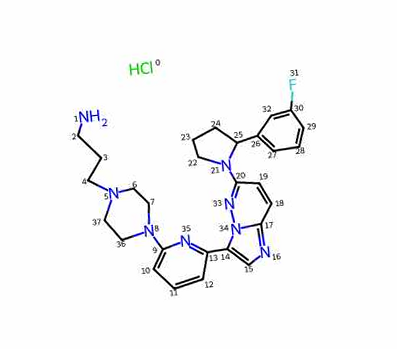 Cl.NCCCN1CCN(c2cccc(-c3cnc4ccc(N5CCCC5c5cccc(F)c5)nn34)n2)CC1